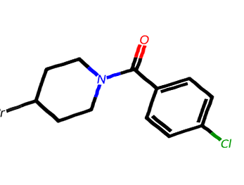 CC(C)C1CCN(C(=O)c2ccc(Cl)cc2)CC1